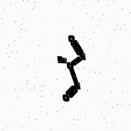 O=NON=O.[Ru]